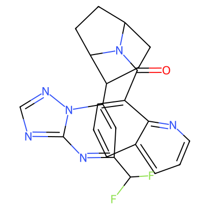 O=C(c1cccc2cccnc12)N1C2CCC(c3cc(C(F)F)nc4ncnn34)C1CC2